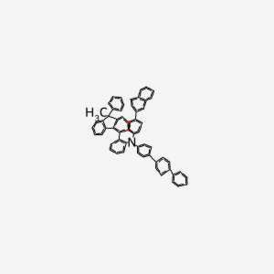 CC1(c2ccccc2)c2ccccc2-c2c(-c3ccccc3N(c3ccc(-c4ccc(-c5ccccc5)cc4)cc3)c3ccc(-c4ccc5ccccc5c4)cc3)cccc21